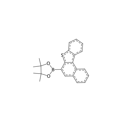 CC1(C)OB(c2cc3ccccc3c3c2sc2ccccc23)OC1(C)C